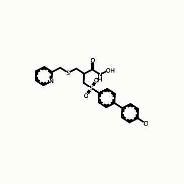 O=C(NO)C(CSCc1ccccn1)CS(=O)(=O)c1ccc(-c2ccc(Cl)cc2)cc1